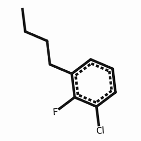 CCCCc1cccc(Cl)c1F